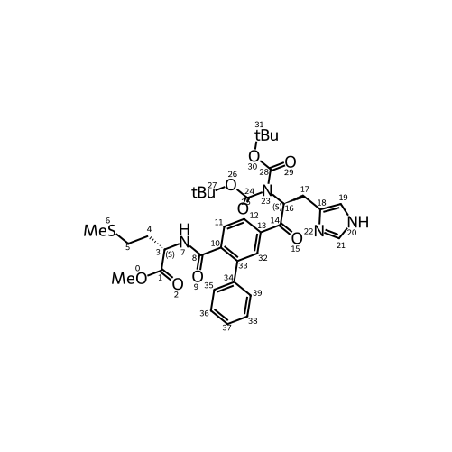 COC(=O)[C@H](CCSC)NC(=O)c1ccc(C(=O)[C@H](Cc2c[nH]cn2)N(C(=O)OC(C)(C)C)C(=O)OC(C)(C)C)cc1-c1ccccc1